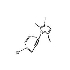 Cc1cc(I)c(C)n1-c1ccc(Cl)cc1